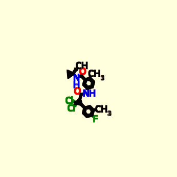 C#CC1(NC(=O)c2cc(NC(=O)C3C(c4ccc(F)c(C)c4)C3(Cl)Cl)ccc2C)CC1